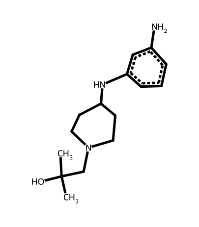 CC(C)(O)CN1CCC(Nc2cccc(N)c2)CC1